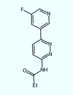 CCC(=O)Nc1ccc(-c2cncc(F)c2)nn1